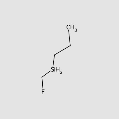 CCC[SiH2]CF